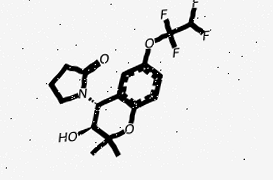 CC1(C)Oc2ccc(OC(F)(F)C(F)F)cc2[C@@H](N2CCCC2=O)[C@@H]1O